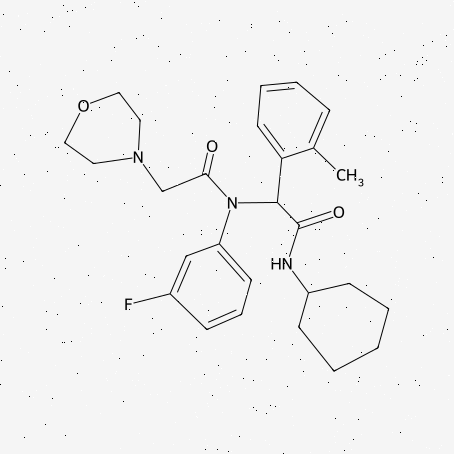 Cc1ccccc1C(C(=O)NC1CCCCC1)N(C(=O)CN1CCOCC1)c1cccc(F)c1